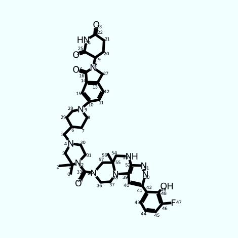 CC1(C)CN(CC2CCN(c3ccc4c(c3)C(=O)N(C3CCC(=O)NC3=O)C4)CC2)CCN1C(=O)N1CCN2c3cc(-c4cccc(F)c4O)nnc3NCC2(C)C1